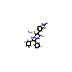 COc1c(-c2ccc3nc(C)sc3c2)c(Cl)nc2c(-c3ccccc3)c(-c3ccccc3)nn12